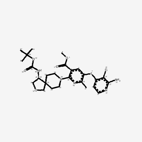 COC(=O)c1cc(Sc2ccnc(N)c2Cl)c(C)nc1N1CCC2(CC1)COC[C@H]2NC(=O)OC(C)(C)C